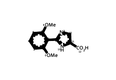 COc1cccc(OC)c1-c1ncc(C(=O)O)[nH]1